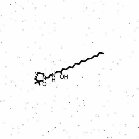 CCCCCCCCCCCCCCC(O)CNCCN1CCN=CC(C)(C)C1=O